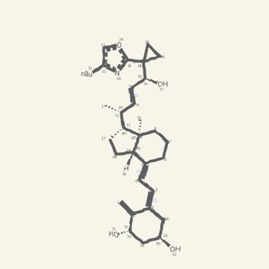 C=C1/C(=C\C=C2/CCC[C@]3(C)[C@@H]([C@H](C)/C=C/[C@H](O)C4(c5nc(CCCC)co5)CC4)CC[C@@H]23)C[C@@H](O)C[C@@H]1O